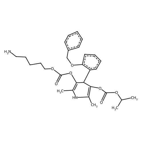 CC1=C(OC(=O)OCCCCCN)C(c2ccccc2OCc2ccccc2)C(OC(=O)OC(C)C)=C(C)N1